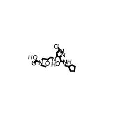 O=C(NCC1CCCC1)c1nnc(Cl)cc1NCC1CN(C(=O)O)CCO1